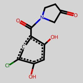 O=C1CCN(C(=O)c2cc(Cl)c(O)cc2O)C1